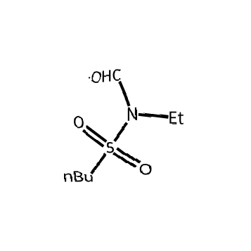 CCCCS(=O)(=O)N([C]=O)CC